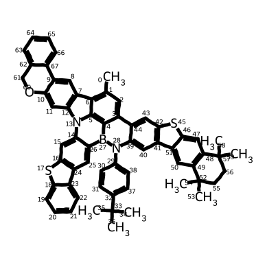 Cc1cc2c3c4c1c1cc5c(cc1n4-c1cc4sc6ccccc6c4cc1B3N(c1ccc(C(C)(C)C)cc1)c1cc3c(cc1-2)sc1cc2c(cc13)C(C)(C)CCC2(C)C)OCc1ccccc1-5